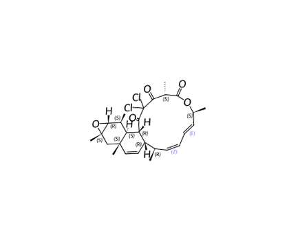 C[C@@H]1C(=O)O[C@@H](C)/C=C/C=C\[C@@H](C)[C@@H]2C=C[C@]3(C)C[C@]4(C)O[C@@H]4[C@@H](C)[C@H]3[C@@H]2C(=O)C(Cl)(Cl)C1=O